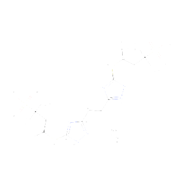 CC(CC(C)(C)S(=O)(=O)[O-])Sc1nc(CCc2n[nH]c(SC(C)CC(C)(C)S(=O)(=O)[O-])n2)n[nH]1.[Na+].[Na+]